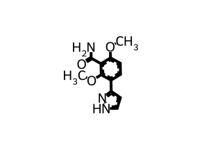 COc1ccc(-c2cc[nH]n2)c(OC)c1C(N)=O